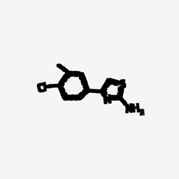 Cc1cc(-c2csc(N)n2)ccc1Cl